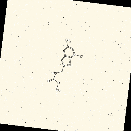 Cc1cc(Cl)c2oc(CNC(=O)OC(C)(C)C)cc2c1